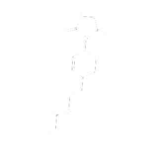 CC(C)CC(=O)CCCc1ccc(N2C(=O)CCC2=O)cc1